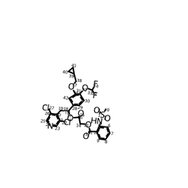 CS(=O)(=O)Nc1ccccc1C(=O)OCC(=O)O[C@@H](Cc1c(Cl)cncc1Cl)c1ccc(OC(F)F)c(OCC2CC2)c1